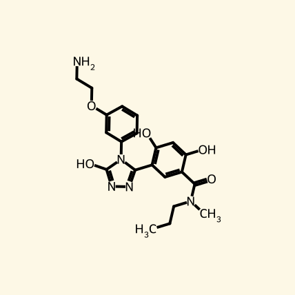 CCCN(C)C(=O)c1cc(-c2nnc(O)n2-c2cccc(OCCN)c2)c(O)cc1O